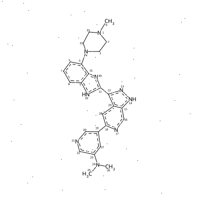 CN1CCN(c2cccc3[nH]c(-c4n[nH]c5cnc(-c6cncc(N(C)C)c6)cc45)nc23)CC1